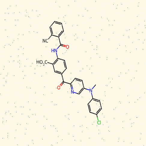 CN(c1ccc(Cl)cc1)c1ccc(C(=O)c2ccc(NC(=O)c3ccccc3C#N)c(C(=O)O)c2)nc1